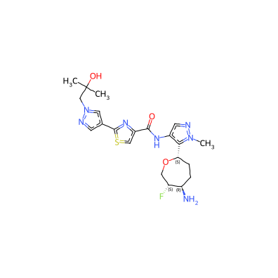 Cn1ncc(NC(=O)c2csc(-c3cnn(CC(C)(C)O)c3)n2)c1[C@@H]1CC[C@@H](N)[C@H](F)CO1